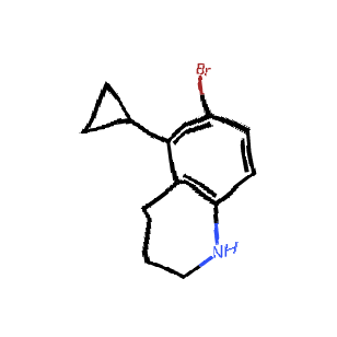 Brc1ccc2c(c1C1CC1)CCCN2